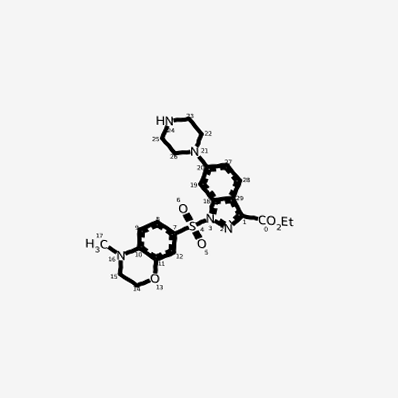 CCOC(=O)c1nn(S(=O)(=O)c2ccc3c(c2)OCCN3C)c2cc(N3CCNCC3)ccc12